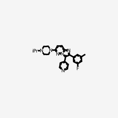 Cc1cc(F)cc(-c2nc3ccc(N4CCN(C(C)C)CC4)nn3c2-c2ccncc2)c1